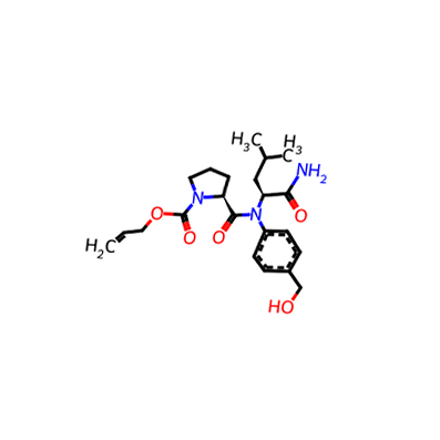 C=CCOC(=O)N1CCC[C@H]1C(=O)N(c1ccc(CO)cc1)[C@@H](CC(C)C)C(N)=O